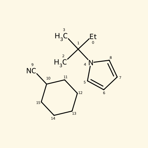 CCC(C)(C)n1cccc1.N#CC1CCCCC1